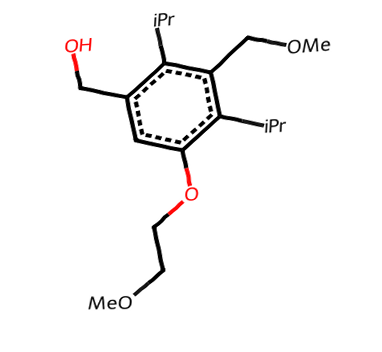 COCCOc1cc(CO)c(C(C)C)c(COC)c1C(C)C